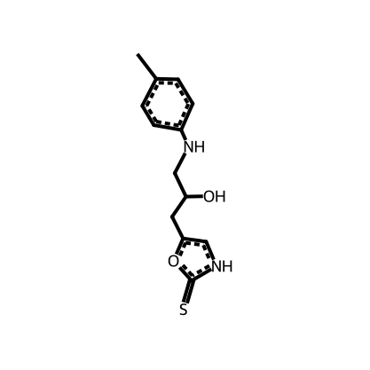 Cc1ccc(NCC(O)Cc2c[nH]c(=S)o2)cc1